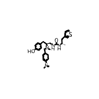 C[C@@H](Cc1ccsc1)NC(=O)NC[C@H](Cc1ccc(O)cc1)N(C)Cc1ccc(N(C)C)cc1